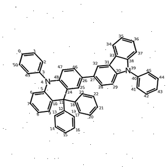 c1ccc(N2c3ccccc3C(c3ccccc3)(c3ccccc3)c3cc(-c4ccc5c(c4)c4ccccc4n5-c4ccccc4)ccc32)cc1